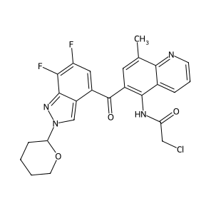 Cc1cc(C(=O)c2cc(F)c(F)c3nn(C4CCCCO4)cc23)c(NC(=O)CCl)c2cccnc12